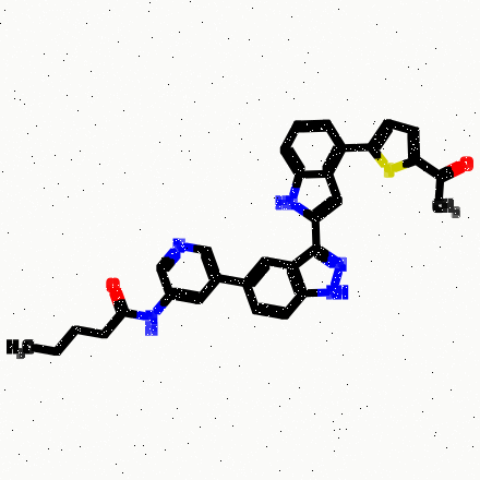 CCCCC(=O)Nc1cncc(-c2ccc3[nH]nc(-c4cc5c(-c6ccc(C(C)=O)s6)cccc5[nH]4)c3c2)c1